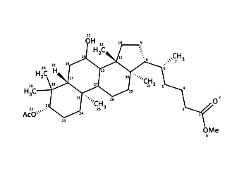 COC(=O)CCC[C@@H](C)[C@H]1CC[C@@]2(C)C3C(O)C[C@H]4C(C)(C)[C@@H](OC(C)=O)CC[C@]4(C)C3CC[C@]12C